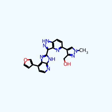 Cn1cc(-c2ccc3[nH]nc(-c4nc5c(-c6ccoc6)ccnc5[nH]4)c3n2)c(CO)n1